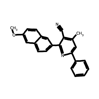 COc1ccc2cc(-c3nc(-c4ccccc4)cc(C)c3C#N)ccc2c1